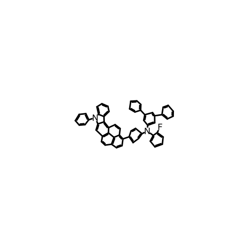 Fc1ccccc1N(c1ccc(-c2ccc3ccc4cc5c(c6ccc2c3c46)c2ccccc2n5-c2ccccc2)cc1)c1cc(-c2ccccc2)cc(-c2ccccc2)c1